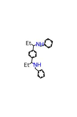 CCC(NCc1ccccc1)c1ccc(C(CC)NCc2ccccc2)cc1